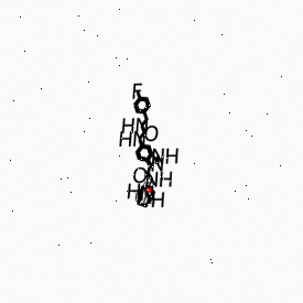 CN1[C@@H]2CC[C@H]1C[C@@H](NC(=O)c1n[nH]c3cc(NC(=O)NCc4ccc(F)cc4)ccc13)C2